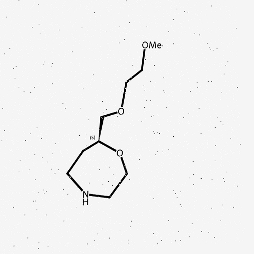 COCCOC[C@@H]1CCNCCO1